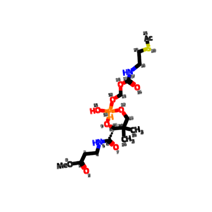 COC(=O)CCNC(=O)[C@@H]1O[PH](O)(OCOC(=O)NCCSC(C)=O)OCC1(C)C